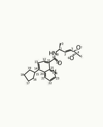 C[C@@H](/C=C/S(C)(=O)=O)NC(=O)c1ccc(C2CCCC2)c2cccnc12